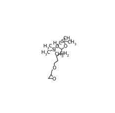 C[Si](C)(C)OC(O[Si](C)(C)C)[SiH2]CCCOCC1CO1